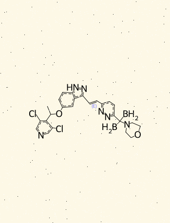 BC(B)(c1ccc(/C=C/c2n[nH]c3ccc(OC(C)c4c(Cl)cncc4Cl)cc23)nn1)N1CCOCC1